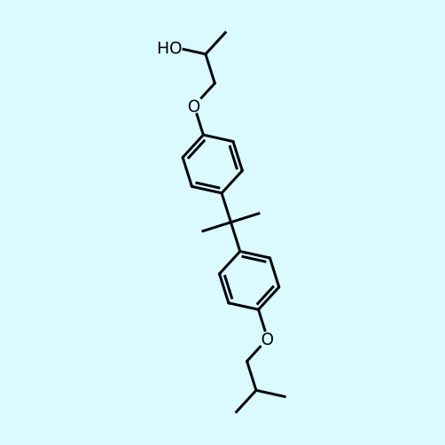 CC(C)COc1ccc(C(C)(C)c2ccc(OCC(C)O)cc2)cc1